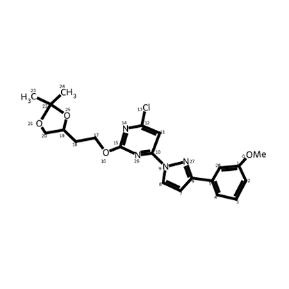 COc1cccc(-c2ccn(-c3cc(Cl)nc(OCCC4COC(C)(C)O4)n3)n2)c1